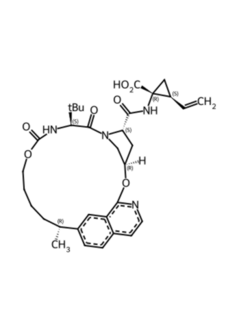 C=C[C@@H]1C[C@]1(NC(=O)[C@@H]1C[C@@H]2CN1C(=O)[C@H](C(C)(C)C)NC(=O)OCCCC[C@@H](C)c1ccc3ccnc(c3c1)O2)C(=O)O